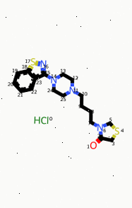 Cl.O=C1CSCN1CCCCN1CCN(c2nsc3ccccc23)CC1